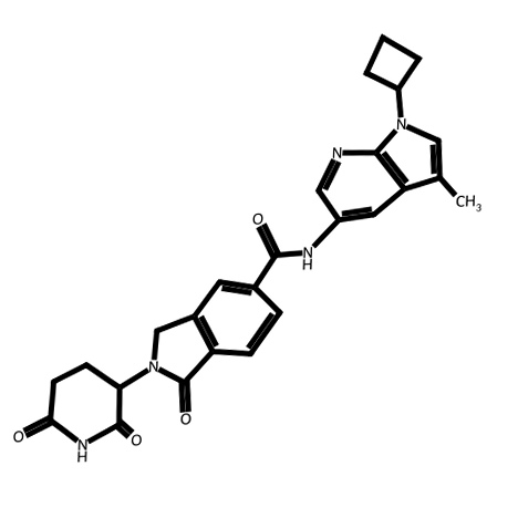 Cc1cn(C2CCC2)c2ncc(NC(=O)c3ccc4c(c3)CN(C3CCC(=O)NC3=O)C4=O)cc12